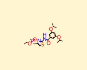 CCOP(C)(=O)Cc1csc(NC(=O)c2cc(OC(C)C)cc(OC(C)C)c2)n1